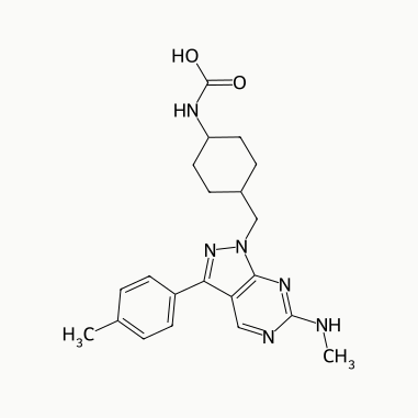 CNc1ncc2c(-c3ccc(C)cc3)nn(CC3CCC(NC(=O)O)CC3)c2n1